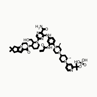 C=CC(=O)Nc1cc(Nc2nc(N3CCCC(N4CCn5c(cc6c5CC(C)(C)C6)C4=O)C3CO)cnc2C(N)=O)ccc1N1CCN(C2CCN(c3ccnc(C(C)(C)OP(=O)(O)O)c3)[C@@H](C)C2)C[C@@H]1C